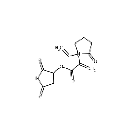 C=C[N+]1(C(=C)C(=O)OC2CC(=O)NC2=O)CCCC1=O